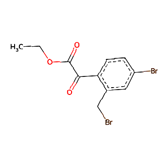 CCOC(=O)C(=O)c1ccc(Br)cc1CBr